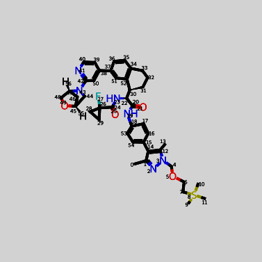 Cc1nn(COCCS(C)(C)C)c(C)c1-c1ccc(NC(=O)[C@@H](NC(=O)C2(F)CC2)[C@@H]2CCCc3ccc(-c4ccnc(N5C[C@H]6C[C@@H]5CO6)c4)cc32)cc1